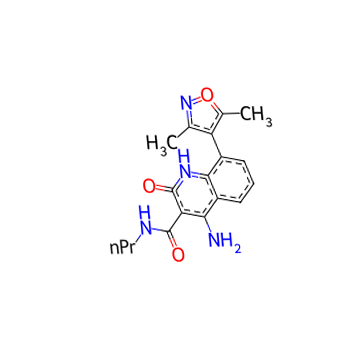 CCCNC(=O)c1c(N)c2cccc(-c3c(C)noc3C)c2[nH]c1=O